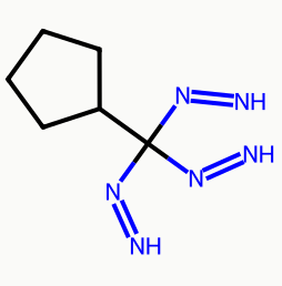 N=NC(N=N)(N=N)C1CCCC1